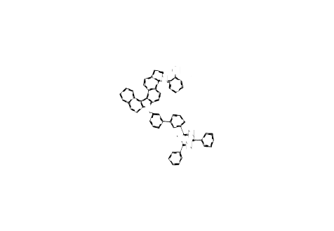 Cc1ccccc1-n1ccc2ccc3c(ccc4c3c3c5ccccc5ccc3n4-c3cccc(-c4cccc(-c5nc(-c6ccccc6)nc(-c6ccccc6)n5)c4)c3)c21